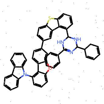 C1=CCC(C2N=C(c3ccccc3)NC(c3cccc4sc5ccc(-c6ccc7c(c6)oc6cccc(-n8c9ccccc9c9ccccc98)c67)cc5c34)N2)C=C1